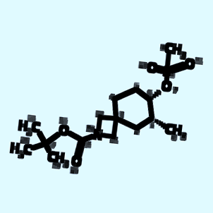 C[C@@H]1CC2(CC[C@@H]1OS(C)(=O)=O)CN(C(=O)OC(C)(C)C)C2